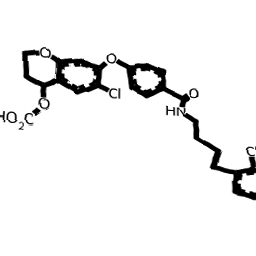 O=C(O)OC1CCOc2cc(Oc3ccc(C(=O)NCCCCc4ccccc4Cl)cc3)c(Cl)cc21